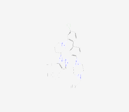 CC(C)CN1CCN(c2ccc(-c3ccc(Cl)cc3N3CCCC(n4ncc(C(=O)O)c4C(F)(F)F)C3)cc2)CC1